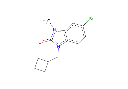 Cn1c(=O)n(CC2CCC2)c2ccc(Br)cc21